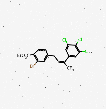 CCOC(=O)c1ccc(CC=C(c2cc(Cl)c(Cl)c(Cl)c2)C(F)(F)F)cc1Br